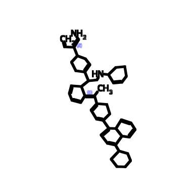 C=C/C(=C\N)C1CC=C(C(CNC2C=CCCC2)C2C=CC=C/C2=C(/C)C2=CC=C(C3=CC=C(C4CCCCC4)C4C=CC=CC34)CC2)CC1